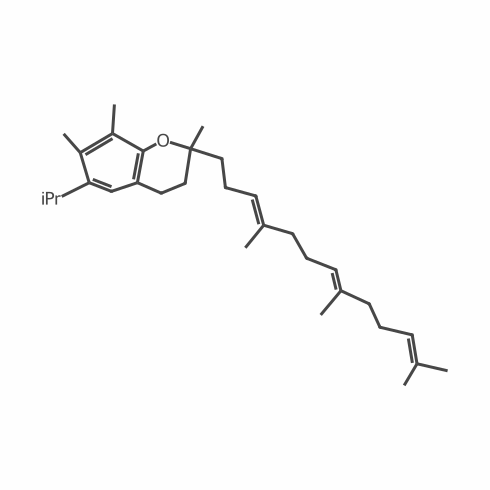 CC(C)=CCC/C(C)=C/CC/C(C)=C/CCC1(C)CCc2cc(C(C)C)c(C)c(C)c2O1